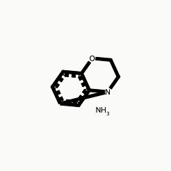 N.c1cc2c3cc1N3CCO2